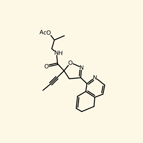 CC#CC1(C(=O)NCC(C)OC(C)=O)CC(c2nccc3c2C=CCC3)=NO1